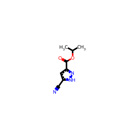 CC(C)OC(=O)c1cc(C#N)[nH]n1